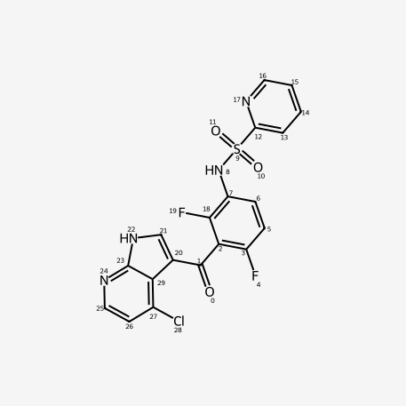 O=C(c1c(F)ccc(NS(=O)(=O)c2ccccn2)c1F)c1c[nH]c2nccc(Cl)c12